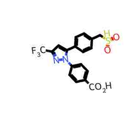 O=C(O)c1ccc(-n2nc(C(F)(F)F)cc2-c2ccc(C[SH](=O)=O)cc2)cc1